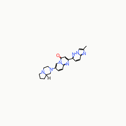 Cc1cn2nc(-c3cc(=O)n4cc(N5CCN6CCC[C@H]6C5)ccc4n3)ccc2n1